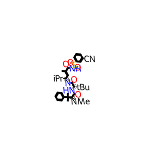 CN[C@H](C(=O)N[C@H](C(=O)N(C)[C@H](C=C(C)C(=O)NS(=O)(=O)c1cccc(C#N)c1)C(C)C)C(C)(C)C)C(C)(C)c1ccccc1